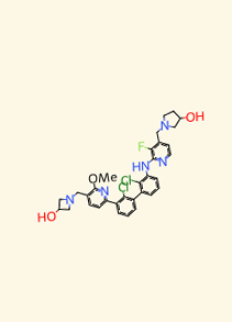 COc1nc(-c2cccc(-c3cccc(Nc4nccc(CN5CCC(O)C5)c4F)c3Cl)c2Cl)ccc1CN1CC(O)C1